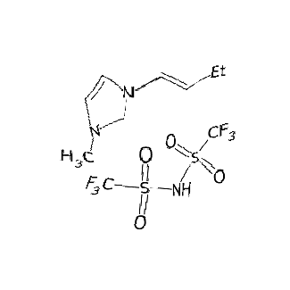 CCC=CN1C=CN(C)C1.O=S(=O)(NS(=O)(=O)C(F)(F)F)C(F)(F)F